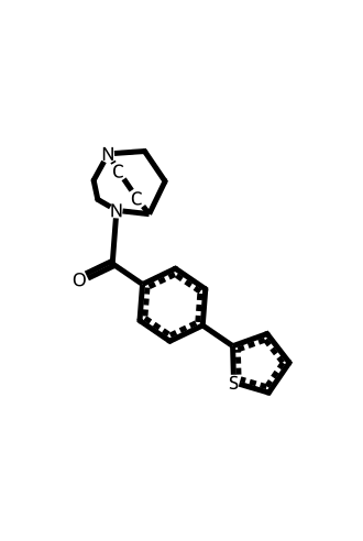 O=C(c1ccc(-c2cccs2)cc1)N1CCN2CCC1CC2